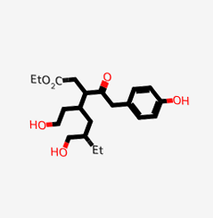 CCOC(=O)CC(C(=O)Cc1ccc(O)cc1)C(CCO)CC(CC)CO